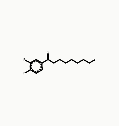 CCCCCCCCC(=O)c1ccc(F)c(F)c1